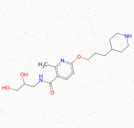 Cc1nc(OCCCC2CCNCC2)ccc1C(=O)NCC(O)CO